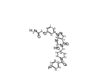 NC(=O)COc1cccc(-n2ncc3c(=O)n(CC4(O)CCN(C(=O)c5ccc(F)cc5)CC4)cnc32)c1